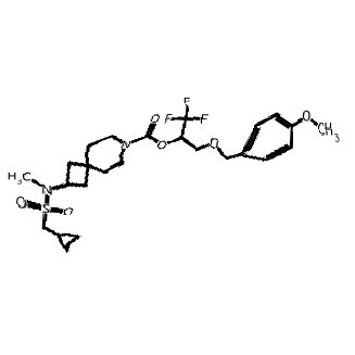 COc1ccc(COCC(OC(=O)N2CCC3(CC2)CC(N(C)S(=O)(=O)CC2CC2)C3)C(F)(F)F)cc1